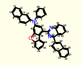 c1ccc(N(c2ccc3ccccc3c2)c2cc(-c3nc(-c4ccc5ccccc5c4)c4ccccc4n3)c3c(c2)oc2ccccc23)cc1